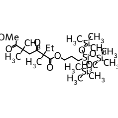 CCC(C)(C(=O)CC(C)(C)C(=O)OC)C(=O)OCCC[Si](O[Si](C)(C)C)(O[Si](C)(C)C)O[Si](C)(C)C